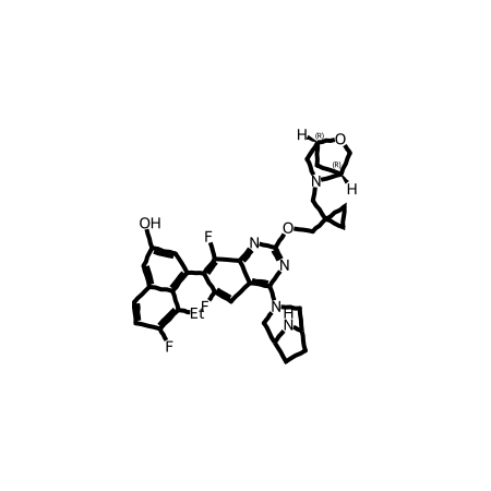 CCc1c(F)ccc2cc(O)cc(-c3c(F)cc4c(N5CC6CCC(C5)N6)nc(OCC5(CN6C[C@H]7C[C@@H]6CO7)CC5)nc4c3F)c12